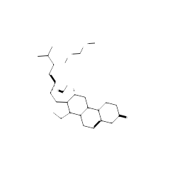 COCOC[C@H](/C=C/[C@@H](C)[C@H]1CCC2C3CC=C4CC(=O)CC[C@]4(C)C3C[C@H](O)[C@@]21C(C)=O)C(C)C